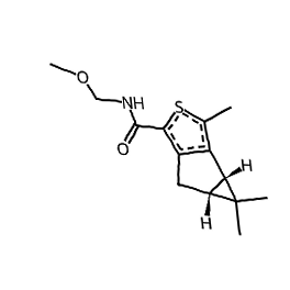 COCNC(=O)c1sc(C)c2c1C[C@@H]1[C@H]2C1(C)C